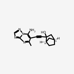 Cc1nc2ncnn2c(N)c1C#CC1(O)C[C@H]2CC[C@@H]1C2